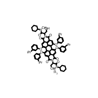 CC(C)c1cccc(Oc2cc3c4c(cc(Oc5cccc(C(C)C)c5)c5c6c(Oc7cccc(C(C)C)c7)cc7c8c(cc(Oc9cccc(C(C)C)c9)c(c2c45)c86)C(=O)N(C(CO)C(=O)N(C)C2CCCCC2)C7=O)C(=O)N(C(CO)C(=O)N(C)C2CCCCC2)C3=O)c1